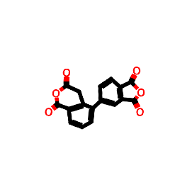 O=C1Cc2c(cccc2-c2ccc3c(c2)C(=O)OC3=O)C(=O)O1